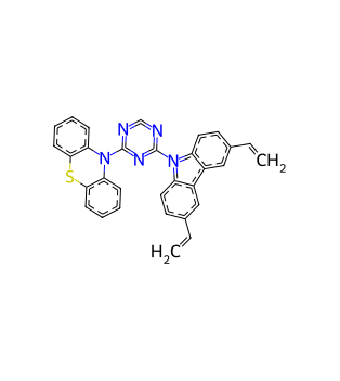 C=Cc1ccc2c(c1)c1cc(C=C)ccc1n2-c1ncnc(N2c3ccccc3Sc3ccccc32)n1